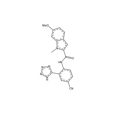 COc1ccc2cc(C(=O)Nc3ccc(C#N)cc3-c3nnn[nH]3)n(C)c2c1